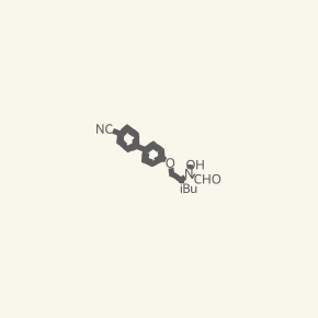 CCC(C)C(COc1ccc(-c2ccc(C#N)cc2)cc1)N(O)C=O